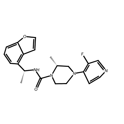 C[C@@H]1CN(c2ccncc2F)CCN1C(=O)N[C@H](C)c1cccc2occc12